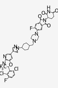 CC(Oc1cc(-c2cnn(C3CCC(CN4CCN(c5cc6c(cc5F)C(=O)N(C5CCC(=O)NC5=O)C6=O)CC4)CC3)c2)cnc1N)c1c(Cl)ccc(F)c1Cl